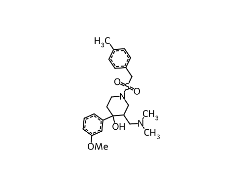 COc1cccc(C2(O)CCN(S(=O)(=O)Cc3ccc(C)cc3)CC2CN(C)C)c1